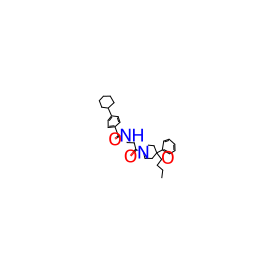 CCCC(=O)C1(c2ccccc2)CCN(C(=O)CCNC(=O)c2ccc(C3CCCCC3)cc2)CC1